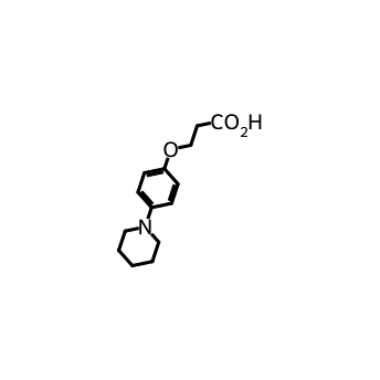 O=C(O)CCOc1ccc(N2CCCCC2)cc1